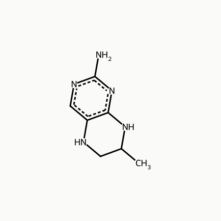 CC1CNc2cnc(N)nc2N1